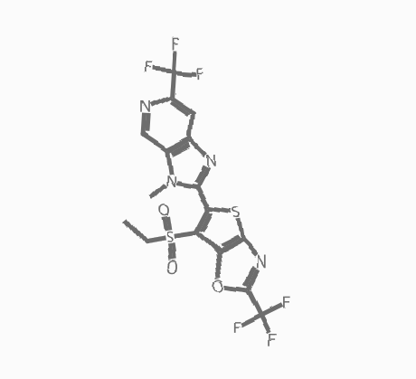 CCS(=O)(=O)c1c(-c2nc3cc(C(F)(F)F)ncc3n2C)sc2nc(C(F)(F)F)oc12